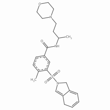 Cc1ccc(C(=O)NC(C)CCN2CCOCC2)cc1S(=O)(=O)N1C=C2CC=CC=C2C1